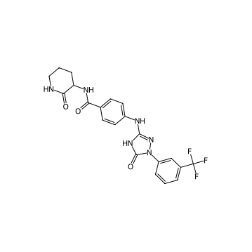 O=C(NC1CCCNC1=O)c1ccc(Nc2nn(-c3cccc(C(F)(F)F)c3)c(=O)[nH]2)cc1